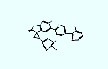 Cc1ccc(C2CC23C(=O)Nc2cc(Cl)c(-c4ccc(-c5ccccc5O)cn4)cc23)cc1C(=O)O